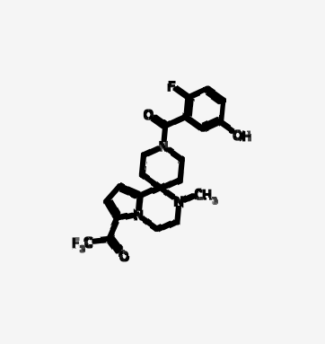 CN1CCn2c(C(=O)C(F)(F)F)ccc2C12CCN(C(=O)c1cc(O)ccc1F)CC2